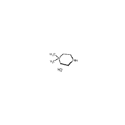 C[N+]1(C)CCNCC1.[OH-]